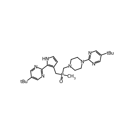 CC(C)(C)c1cnc(-c2[nH]ccc2CP(C)(=O)CN2CCN(c3ncc(C(C)(C)C)cn3)CC2)nc1